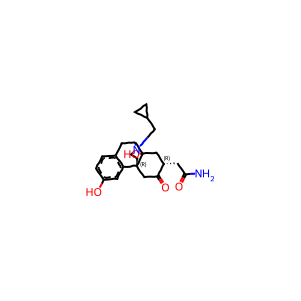 NC(=O)C[C@H]1CC2(O)C3Cc4ccc(O)cc4[C@@]2(CCN3CC2CC2)CC1=O